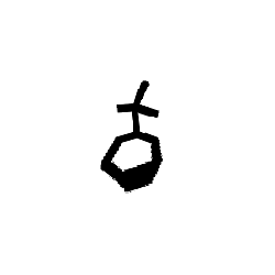 CC(C)(C)C1CC#CCC1